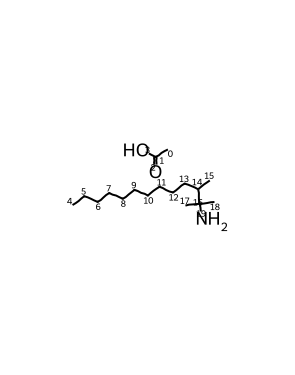 CC(=O)O.CCCCCCCCCCC(C)C(C)(C)N